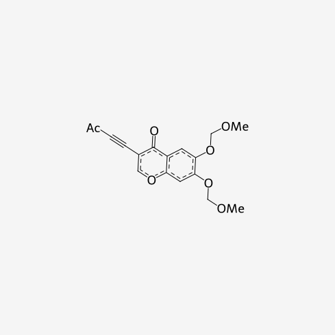 COCOc1cc2occ(C#CC(C)=O)c(=O)c2cc1OCOC